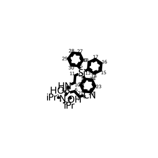 CC(C)N(C(C)C)P(O)(O)(CCC#N)NCC[Si](c1ccccc1)(c1ccccc1)c1ccccc1